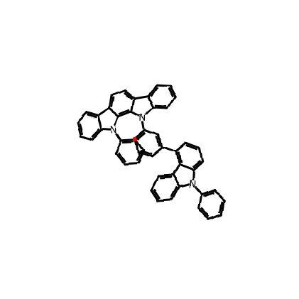 c1ccc(-n2c3ccccc3c3c(-c4cccc(-n5c6ccccc6c6ccc7c8ccccc8n(-c8ccccc8)c7c65)c4)cccc32)cc1